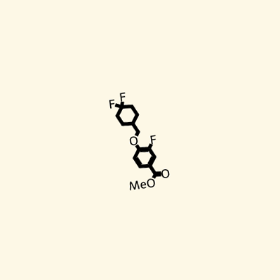 COC(=O)c1ccc(OCC2CCC(F)(F)CC2)c(F)c1